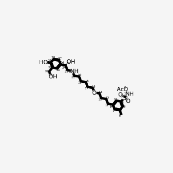 CC(=O)ONS(=O)(=O)c1cc(C)cc(CCCCOCCCCCCNC[C@@H](O)c2ccc(O)c(CO)c2)c1